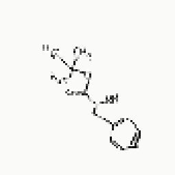 CC(C)(C)OC(=O)C([NH])Cc1ccccc1